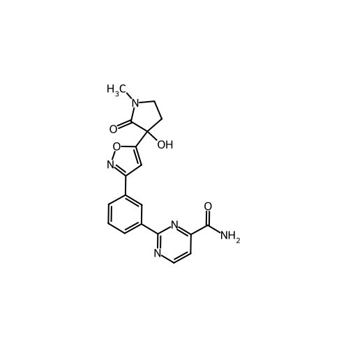 CN1CCC(O)(c2cc(-c3cccc(-c4nccc(C(N)=O)n4)c3)no2)C1=O